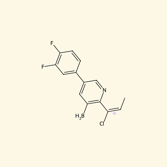 Bc1cc(-c2ccc(F)c(F)c2)cnc1/C(Cl)=C\C